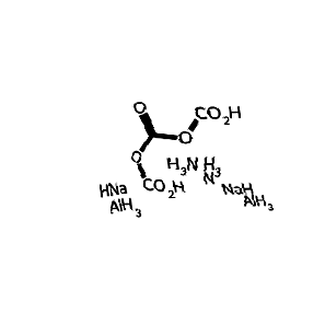 N.N.O=C(O)OC(=O)OC(=O)O.[AlH3].[AlH3].[NaH].[NaH]